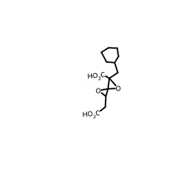 O=C(O)CC1OC12OC2(CC1CCCCC1)C(=O)O